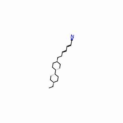 CC[C@H]1CC[C@H]([C@H]2CC[C@H](CCC=CC=CC#N)CC2)CC1